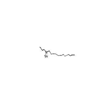 C=CCCCCCCCN(S)CCC